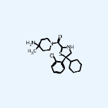 CC1(N)CCN(C(=O)C2NCC(c3ccccc3Cl)(C3CCCCC3)S2)CC1